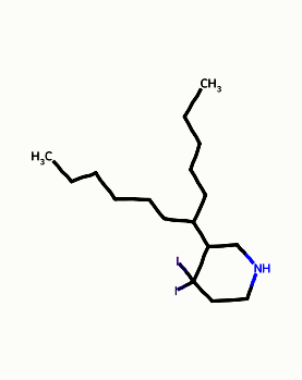 CCCCCCC(CCCCC)C1CNCCC1(I)I